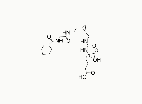 O=C(O)CCC[C@H](NC(=O)NCC1CC1CCNC(=O)CNC(=O)C1CCCCC1)C(=O)O